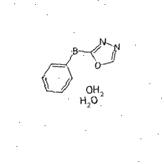 O.O.[B](c1ccccc1)c1nnco1